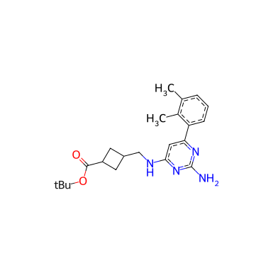 Cc1cccc(-c2cc(NCC3CC(C(=O)OC(C)(C)C)C3)nc(N)n2)c1C